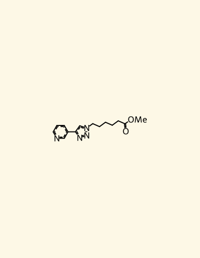 COC(=O)CCCCCn1cc(-c2cccnc2)nn1